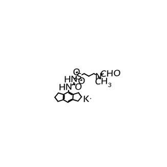 CN(C=O)CCCS(=O)(=O)NC(=O)Nc1c2c(cc3c1CCC3)CCC2.[K]